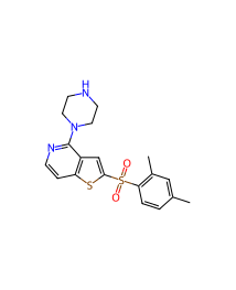 Cc1ccc(S(=O)(=O)c2cc3c(N4CCNCC4)nccc3s2)c(C)c1